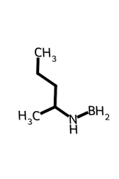 BNC(C)CCC